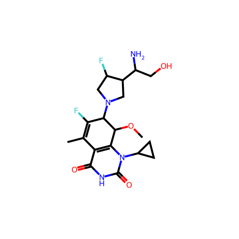 COC1c2c(c(=O)[nH]c(=O)n2C2CC2)C(C)=C(F)C1N1CC(F)C(C(N)CO)C1